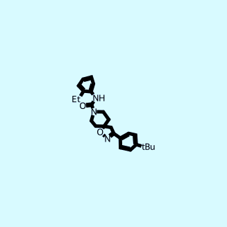 CCc1ccccc1NC(=O)N1CCC2(CC1)CC(c1ccc(C(C)(C)C)cc1)=NO2